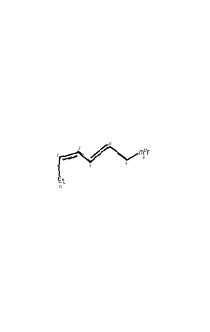 [CH2]C/C=C\C=C\CCCC